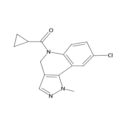 Cn1ncc2c1-c1cc(Cl)ccc1N(C(=O)C1CC1)C2